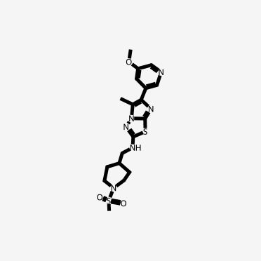 COc1cncc(-c2nc3sc(NCC4CCN(S(C)(=O)=O)CC4)nn3c2C)c1